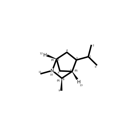 CC(C)C1C[C@@H]2C[C@H]1[C@@H](C)N2C